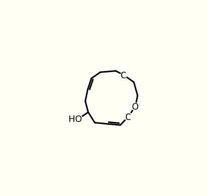 OC1CC=CCCCCCOCC=CC1